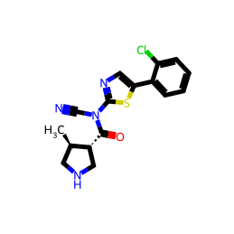 C[C@@H]1CNC[C@H]1C(=O)N(C#N)c1ncc(-c2ccccc2Cl)s1